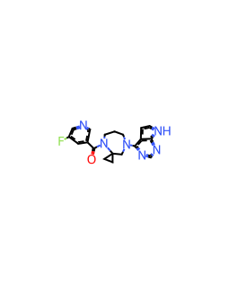 O=C(c1cncc(F)c1)N1CCCN(c2ncnc3[nH]ccc23)CC12CC2